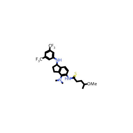 COC(C)CCC(=S)Nc1ccc2c(c1N(C)C)CCC2Nc1cc(C(F)(F)F)cc(C(F)(F)F)c1